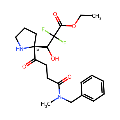 CCOC(=O)C(F)(F)C(O)[C@]1(C(=O)CCC(=O)N(C)Cc2ccccc2)CCCN1